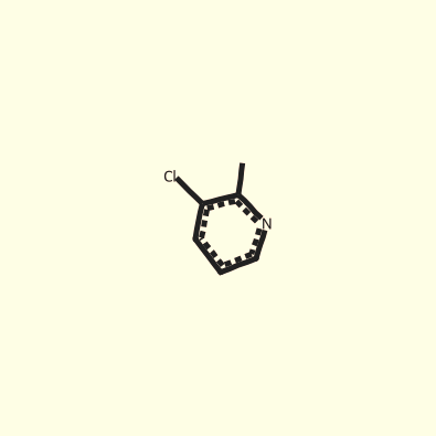 Cc1ncccc1Cl